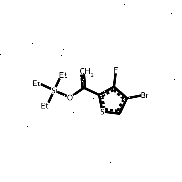 C=C(O[Si](CC)(CC)CC)c1scc(Br)c1F